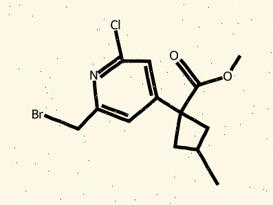 COC(=O)C1(c2cc(Cl)nc(CBr)c2)CC(C)C1